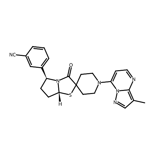 Cc1cnn2c(N3CCC4(CC3)S[C@@H]3CC[C@@H](c5cccc(C#N)c5)N3C4=O)ccnc12